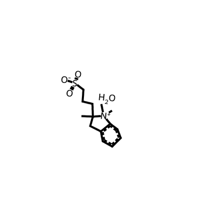 CC1(CCCS(=O)(=O)[O-])Cc2ccccc2[N+]1(C)C.O